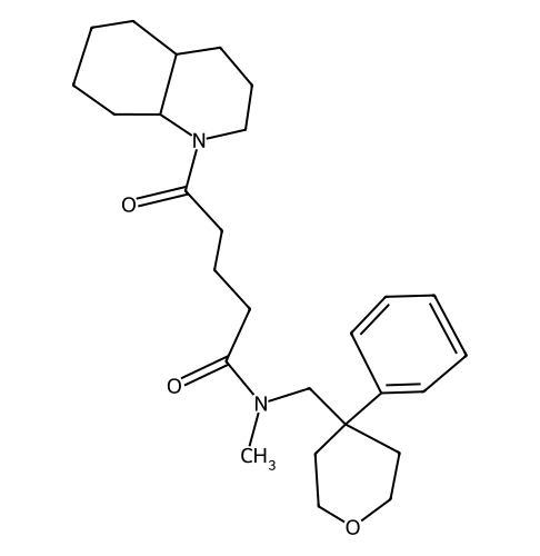 CN(CC1(c2ccccc2)CCOCC1)C(=O)CCCC(=O)N1CCCC2CCCCC21